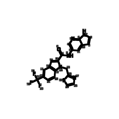 O=C(Nc1cnc2[nH]ccc2c1)c1cc2cc(C(F)(F)F)ccc2n1Cc1nccs1